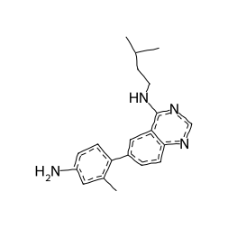 Cc1cc(N)ccc1-c1ccc2ncnc(NCCC(C)C)c2c1